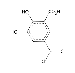 O=C(O)c1cc(C(Cl)Cl)cc(O)c1O